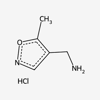 Cc1oncc1CN.Cl